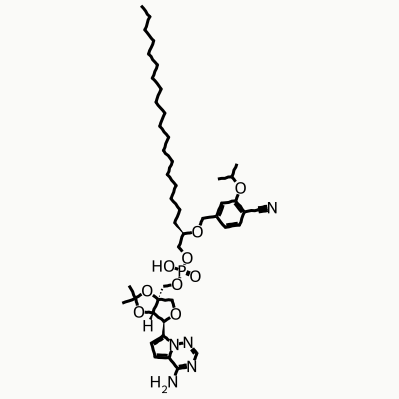 CCCCCCCCCCCCCCCCCCC[C@H](COP(=O)(O)OC[C@]12CO[C@@H](c3ccc4c(N)ncnn34)[C@@H]1OC(C)(C)O2)OCc1ccc(C#N)c(OC(C)C)c1